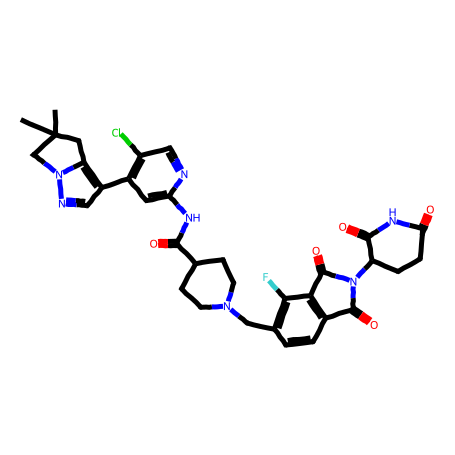 CC1(C)Cc2c(-c3cc(NC(=O)C4CCN(Cc5ccc6c(c5F)C(=O)N(C5CCC(=O)NC5=O)C6=O)CC4)ncc3Cl)cnn2C1